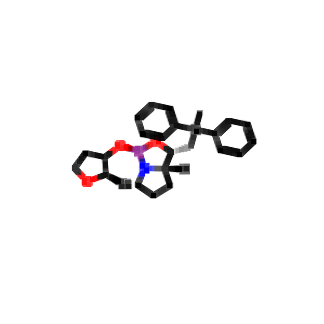 CC[C@H]1OCCC1O[P@@]1O[C@H](C[Si](C)(c2ccccc2)c2ccccc2)[C@@H]2CCCN21